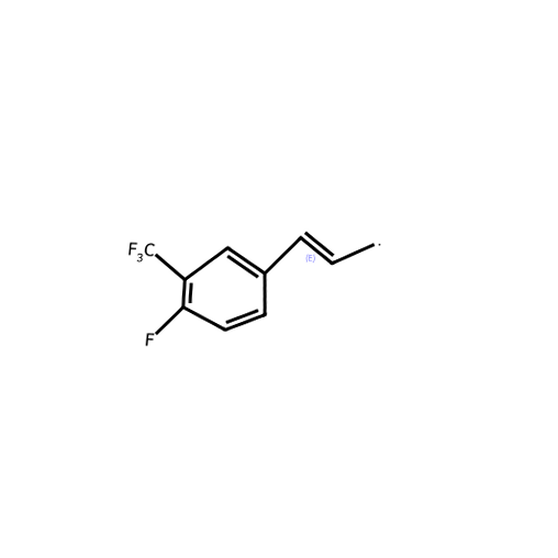 [CH2]/C=C/c1ccc(F)c(C(F)(F)F)c1